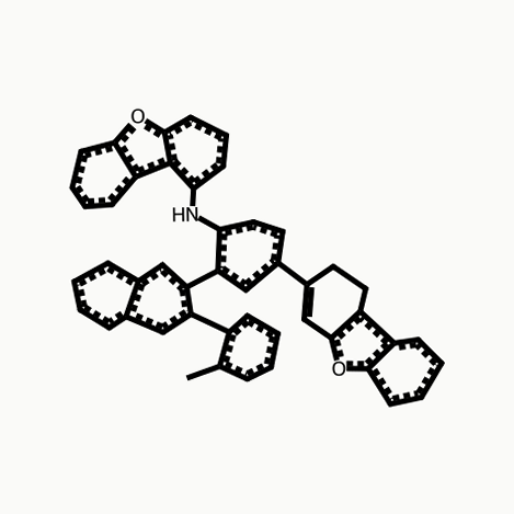 Cc1ccccc1-c1cc2ccccc2cc1-c1cc(C2=Cc3oc4ccccc4c3CC2)ccc1Nc1cccc2oc3ccccc3c12